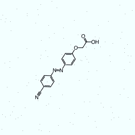 N#Cc1ccc(/N=N/c2ccc(OCC(=O)O)cc2)cc1